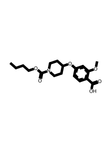 CCCCOC(=O)N1CCC(Oc2ccc(C(=O)O)c(OC)c2)CC1